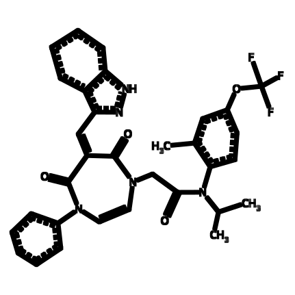 Cc1cc(OC(F)(F)F)ccc1N(C(=O)CN1C=CN(c2ccccc2)C(=O)C(=Cc2n[nH]c3ccccc23)C1=O)C(C)C